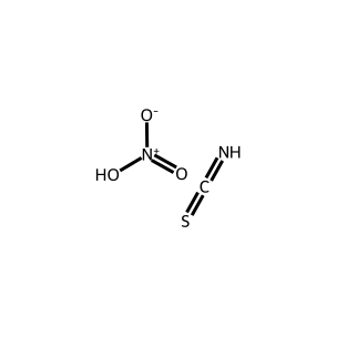 N=C=S.O=[N+]([O-])O